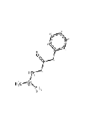 C[SiH](C)BCC(=O)Cc1ccccc1